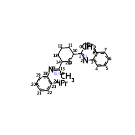 C/C(=N\c1ccccc1C(C)C)C1CCCC(/C(C)=N/c2ccccc2C(C)C)S1